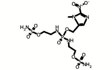 Cn1c(COP(=O)(NCCOS(N)(=O)=O)NCCOS(N)(=O)=O)cnc1[N+](=O)[O-]